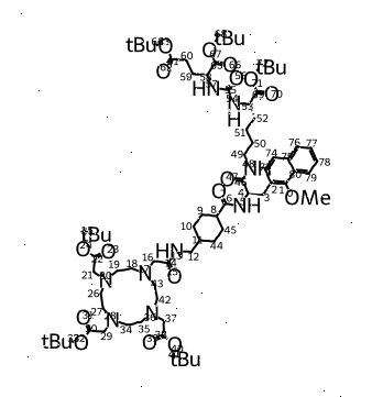 COc1c(C[C@@H](NC(=O)C2CCC(CNC(=O)CN3CCN(CC(=O)OC(C)(C)C)CCN(CC(=O)OC(C)(C)C)CCN(CC(=O)OC(C)(C)C)CC3)CC2)C(=O)NCCCC[C@H](NC(=O)N[C@@H](CCC(=O)OC(C)(C)C)C(=O)OC(C)(C)C)C(=O)OC(C)(C)C)ccc2ccccc12